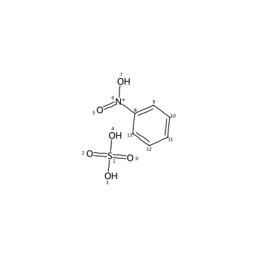 O=S(=O)(O)O.O=[N+](O)c1ccccc1